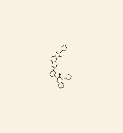 c1ccc(C2Nc3c(ccc4cc(-c5cccc(C6=Nc7ccccc7C(c7ccccc7)N6)c5)ccc34)S2)cc1